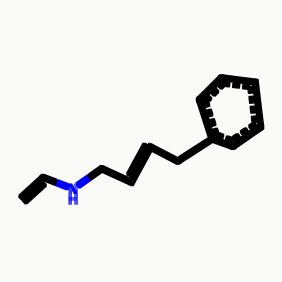 C=CNCC=CCc1ccccc1